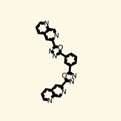 c1cc(-c2nnc(-c3cc4cccnc4cn3)o2)cc(-c2nnc(-c3cc4cccnc4cn3)o2)c1